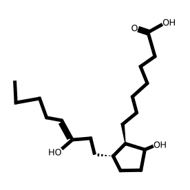 CCCCC=C(O)CC[C@H]1CCC(O)[C@@H]1CCCCCCC(=O)O